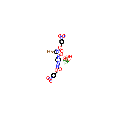 O=C(N=CN1CCCN(C(=O)[C@@H]2C[C@H](S)CN2C(=O)OCc2ccc([N+](=O)[O-])cc2)CC1)OCc1ccc([N+](=O)[O-])cc1.O=S(=O)(O)C(F)(F)F